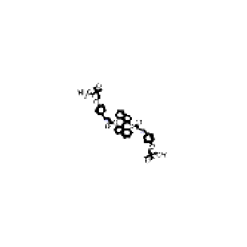 CCC1(COc2ccc(/C=C/C(=O)Oc3ccc4ccccc4c3-c3c(OC(=O)/C=C/c4ccc(OCC5(CC)COC5)cc4)ccc4ccccc34)cc2)COC1